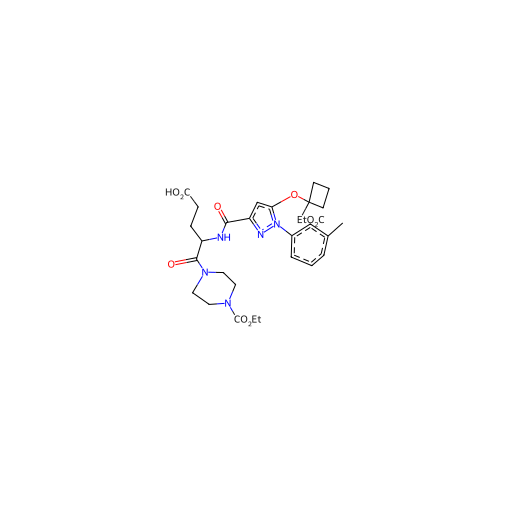 CCOC(=O)N1CCN(C(=O)C(CCC(=O)O)NC(=O)c2cc(OC3(C(=O)OCC)CCC3)n(-c3cccc(C)c3)n2)CC1